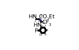 CCOC(=O)/C(C=N)=C(/Nc1ccccc1F)C(F)(F)F